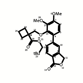 COc1ccc(-c2ccc3c(c2)COC3=O)c(OCC2(C(=O)OCC(C)(C)C)CCC2)c1OC